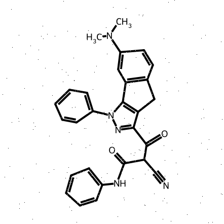 CN(C)c1ccc2c(c1)-c1c(c(C(=O)C(C#N)C(=O)Nc3ccccc3)nn1-c1ccccc1)C2